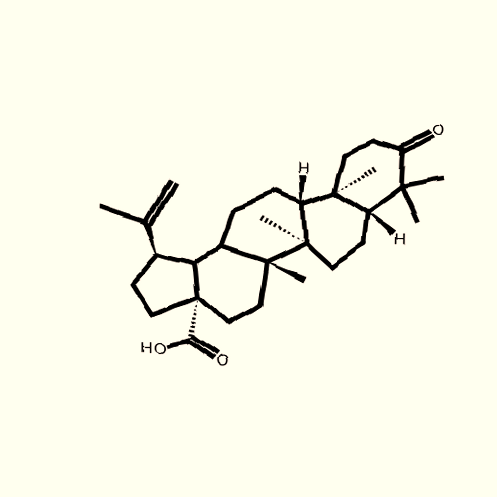 C=C(C)[C@@H]1CC[C@]2(C(=O)O)CC[C@]3(C)C(CC[C@@H]4[C@@]5(C)CCC(=O)C(C)(C)[C@@H]5CC[C@]43C)C12